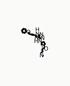 CN(C)C/C=C/C(=O)N1CCC(Nc2ncnc3[nH]c(C#CCOc4ccccc4)nc23)C1